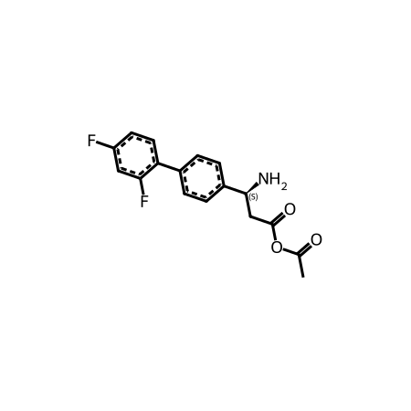 CC(=O)OC(=O)C[C@H](N)c1ccc(-c2ccc(F)cc2F)cc1